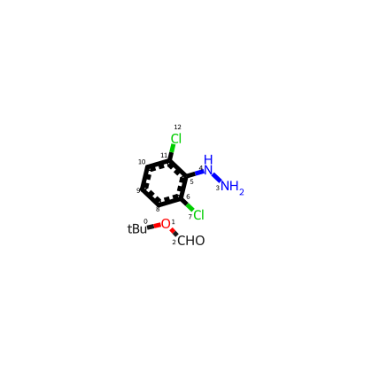 CC(C)(C)OC=O.NNc1c(Cl)cccc1Cl